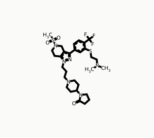 CN(C)CCSc1cc(-c2nn(CCCN3CCC(N4CCCC4=O)CC3)c3c2CN(S(C)(=O)=O)CC3)ccc1C(F)(F)F